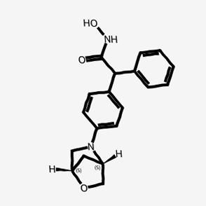 O=C(NO)C(c1ccccc1)c1ccc(N2C[C@@H]3C[C@H]2CO3)cc1